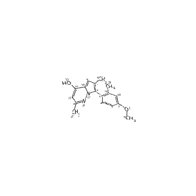 COc1ccc(-c2c(C)cc3c(O)cc(C)nn23)c(C)c1